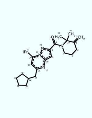 C=C1CCCN(C(=O)c2cc3nc(CC4CCCC4)cc(C(C)C)n3n2)C1(C)C